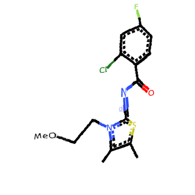 COCCn1c(C)c(C)s/c1=N\C(=O)c1ccc(F)cc1Cl